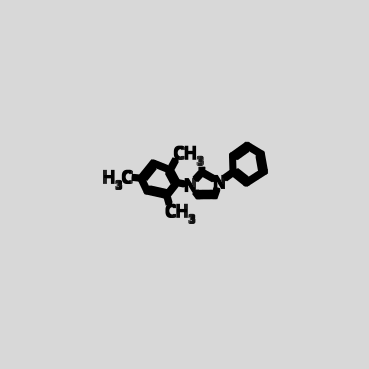 Cc1cc(C)c(N2[C]N(c3ccccc3)C=C2)c(C)c1